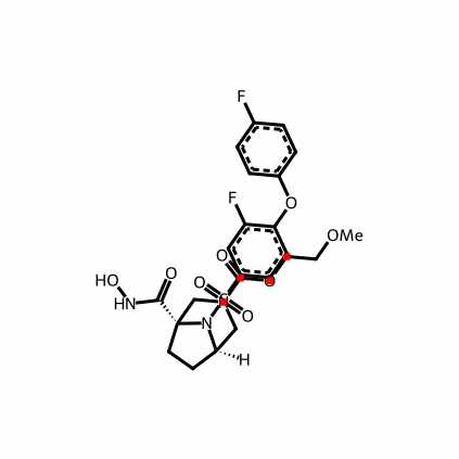 COCCOC(=O)N1C[C@H]2CC[C@@](C(=O)NO)(C1)N2S(=O)(=O)c1ccc(Oc2ccc(F)cc2)c(F)c1